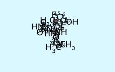 CCc1c(F)ccc2cc(O)cc(C3=C(F)C4NC(OCC5(CN(C)C)CC5)NC(N5CC6C(=O)NC(=O)C6C5)=C4C=C3F)c12